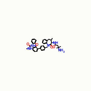 CNC(=O)Nc1ccccc1Oc1ccccc1-c1ccc(CN2C(=O)C(NC(=O)CC(C)(C)N)C(C)Cc3ccccc32)cc1